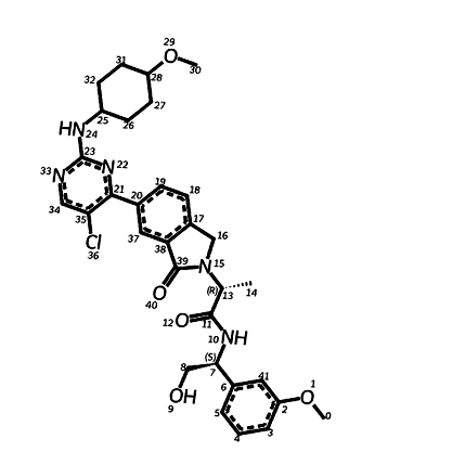 COc1cccc([C@@H](CO)NC(=O)[C@@H](C)N2Cc3ccc(-c4nc(NC5CCC(OC)CC5)ncc4Cl)cc3C2=O)c1